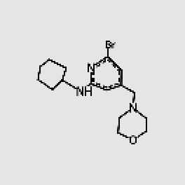 Brc1cc(CN2CCOCC2)cc(NC2CCCCC2)n1